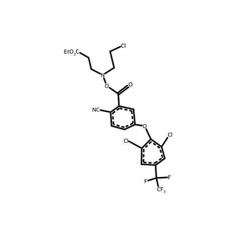 CCOC(=O)CCN(CCCl)OC(=O)c1cc(Oc2c(Cl)cc(C(F)(F)C(F)(F)F)cc2Cl)ccc1C#N